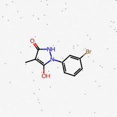 Cc1c(O)n(-c2cccc(Br)c2)[nH]c1=O